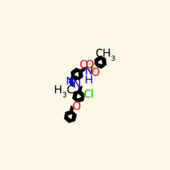 Cc1cccc(S(=O)(=O)NC(=O)c2ccc3nc(C)n(Cc4ccc(OCc5ccccc5)cc4Cl)c3c2)c1